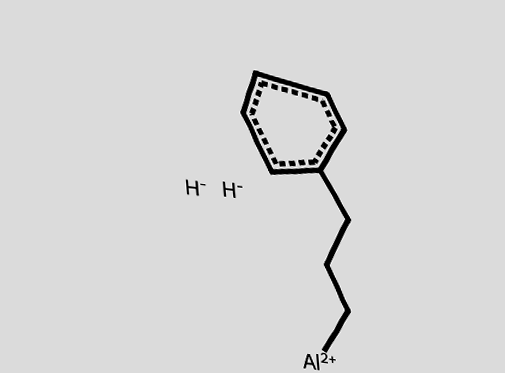 [Al+2][CH2]CCc1ccccc1.[H-].[H-]